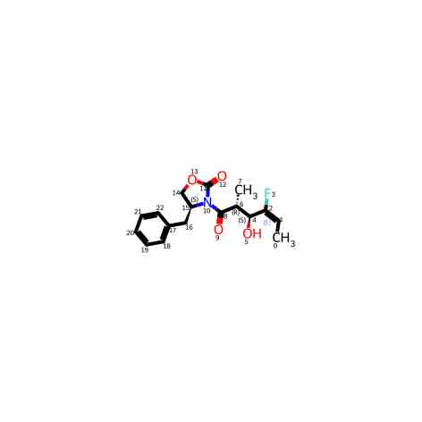 C/C=C(/F)[C@@H](O)[C@@H](C)C(=O)N1C(=O)OC[C@@H]1Cc1ccccc1